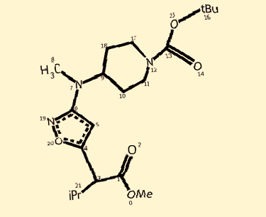 COC(=O)C(c1cc(N(C)C2CCN(C(=O)OC(C)(C)C)CC2)no1)C(C)C